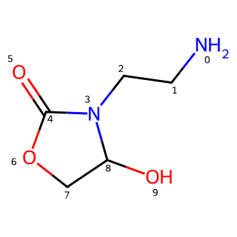 NCCN1C(=O)OCC1O